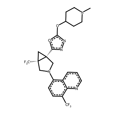 CN1CCC(Oc2nnc([C@]34CN(c5ccc(C(F)(F)F)c6ncccc56)C[C@@]3(C(F)(F)F)C4)o2)CC1